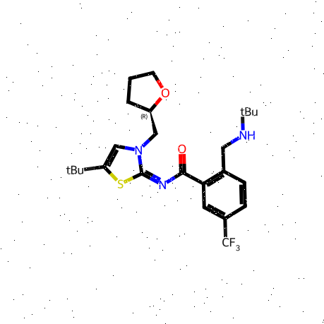 CC(C)(C)NCc1ccc(C(F)(F)F)cc1C(=O)N=c1sc(C(C)(C)C)cn1C[C@H]1CCCO1